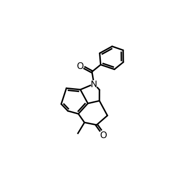 CC1C(=O)CC2CN(C(=O)c3ccccc3)c3cccc1c32